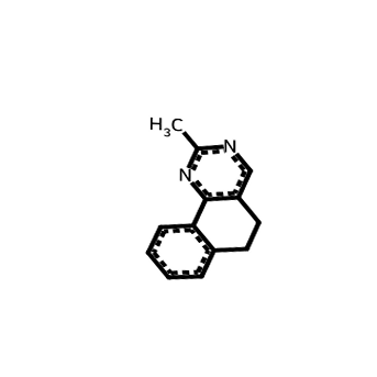 Cc1ncc2c(n1)-c1ccccc1CC2